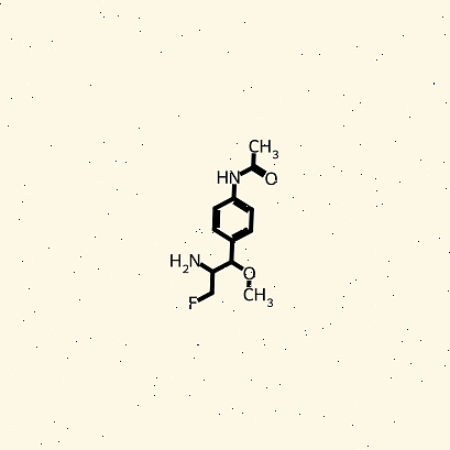 COC(c1ccc(NC(C)=O)cc1)C(N)CF